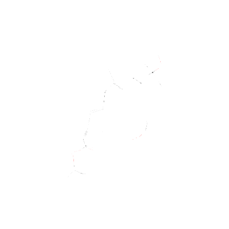 CCO.COC(C)(C)CCCC(C)C/C=C/C(C)=C/C(=O)OC(C)C